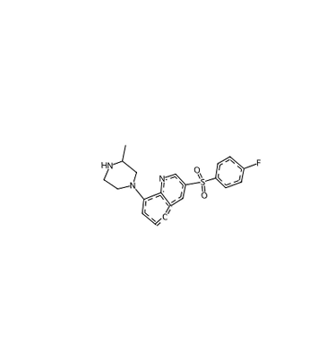 CC1CN(c2cccc3cc(S(=O)(=O)c4ccc(F)cc4)cnc23)CCN1